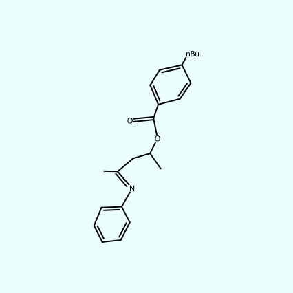 CCCCc1ccc(C(=O)OC(C)CC(C)=Nc2ccccc2)cc1